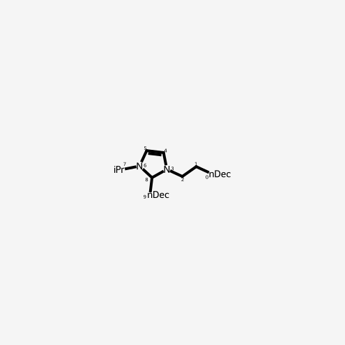 CCCCCCCCCCCCN1C=CN(C(C)C)C1CCCCCCCCCC